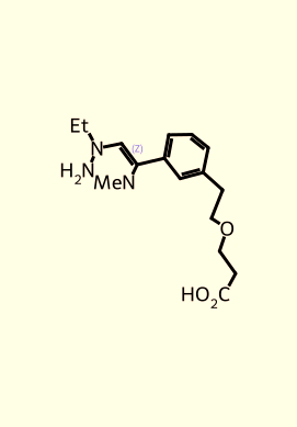 CCN(N)/C=C(\NC)c1cccc(CCOCCC(=O)O)c1